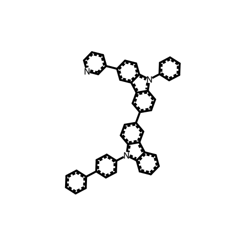 c1ccc(-c2ccc(-n3c4ccccc4c4cc(-c5ccc6c(c5)c5cc(-c7cccnc7)ccc5n6-c5ccccc5)ccc43)cc2)cc1